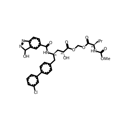 COC(=O)N[C@@H](C(=O)OCOC(=O)[C@H](O)C[C@@H](Cc1ccc(-c2cccc(Cl)c2)cc1)NC(=O)c1ccc2c(c1)C(O)N=N2)C(C)C